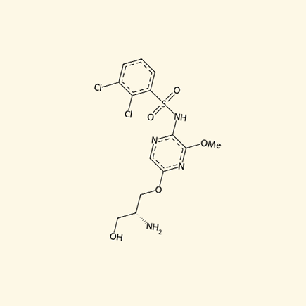 COc1nc(OC[C@H](N)CO)cnc1NS(=O)(=O)c1cccc(Cl)c1Cl